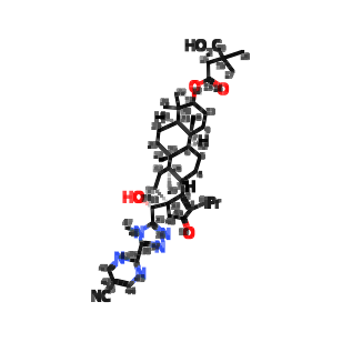 CC(C)C1=C2[C@H]3CC[C@@H]4[C@@]5(C)CC[C@H](OC(=O)CC(C)(C)C(=O)O)C(C)(C)[C@@H]5CC[C@@]4(C)[C@]3(C)CC[C@@]2([C@@H](O)c2nnc(-c3ncc(C#N)cn3)n2C)CC1=O